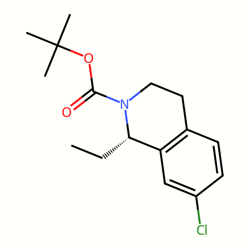 CC[C@H]1c2cc(Cl)ccc2CCN1C(=O)OC(C)(C)C